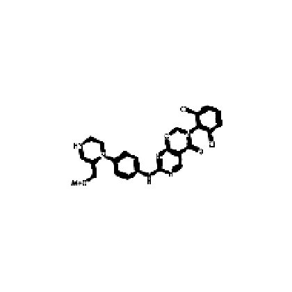 COCC1CNCCN1c1ccc(Nc2ncc3c(n2)OCN(c2c(Cl)cccc2Cl)C3=O)cc1